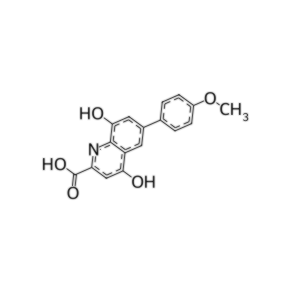 COc1ccc(-c2cc(O)c3nc(C(=O)O)cc(O)c3c2)cc1